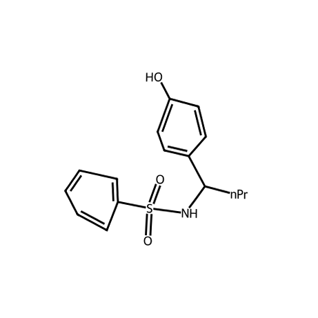 CCCC(NS(=O)(=O)c1ccccc1)c1ccc(O)cc1